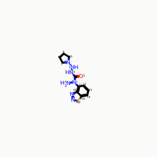 NN(C(=O)NNN1CCCC1)c1cccc2snnc12